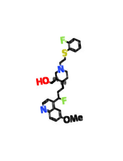 COc1ccc2nccc(C(F)CC[C@@H]3CCN(CCSc4ccccc4F)C[C@@H]3CO)c2c1